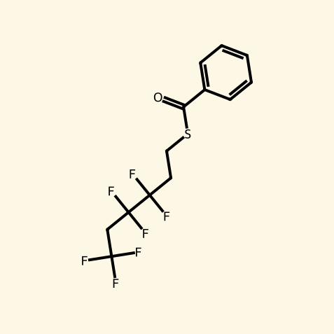 O=C(SCCC(F)(F)C(F)(F)CC(F)(F)F)c1ccccc1